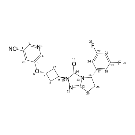 N#Cc1cncc(O[C@H]2C[C@H](n3nc4n(c3=O)[C@H](c3cc(F)cc(F)c3)CC4)C2)c1